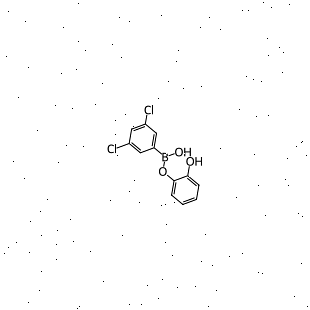 OB(Oc1ccccc1O)c1cc(Cl)cc(Cl)c1